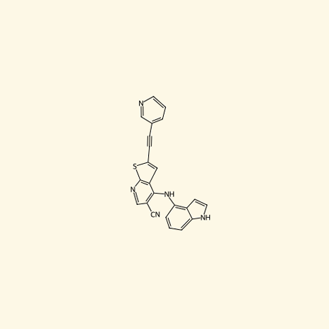 N#Cc1cnc2sc(C#Cc3cccnc3)cc2c1Nc1cccc2[nH]ccc12